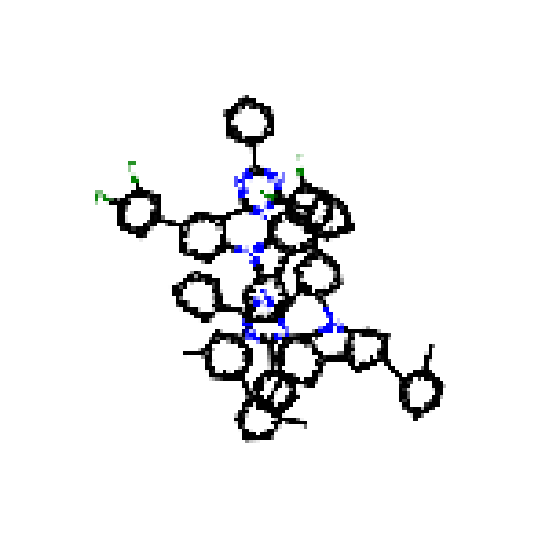 Cc1cc(-c2ccc3c4ccccc4n(-c4ccc(-c5ccc(F)c(F)c5)cc4-c4nc(-c5ccccc5)nc(-c5ccccc5)n4)c3c2)cc(-c2cccc(C)c2-c2ccc3c(c2)c2cc(-c4ccccc4C)ccc2n3-c2ccc(-c3ccc(F)c(F)c3)cc2-c2nc(-c3ccccc3)nc(-c3ccccc3)n2)c1